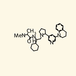 CNC(C)C(=O)NC(CN1CCCC1c1cncc(N2CCCc3ccccc32)c1)C1CCCCC1